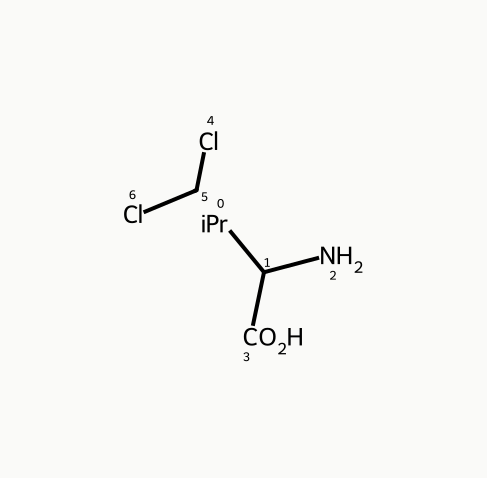 CC(C)C(N)C(=O)O.ClCCl